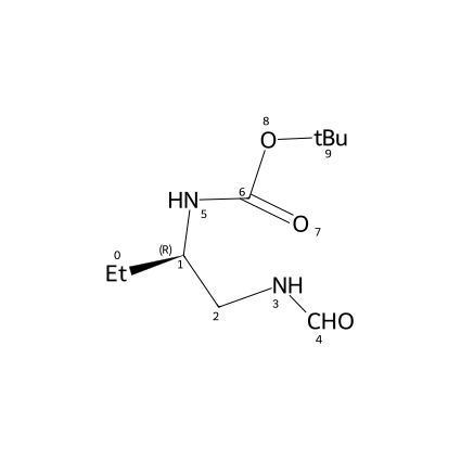 CC[C@H](CNC=O)NC(=O)OC(C)(C)C